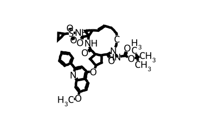 COc1ccc2c(OC3CC4C(=O)NC5(C(=O)NS(=O)(=O)C6CC6)CC5/C=C/CCCCN(NC(=O)OC(C)(C)C)C(=O)C4C3)cc(-c3ccccc3)nc2c1